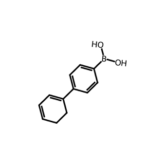 OB(O)c1ccc(C2=CC=CCC2)cc1